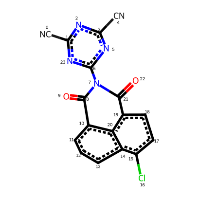 N#Cc1nc(C#N)nc(N2C(=O)c3cccc4c(Cl)ccc(c34)C2=O)n1